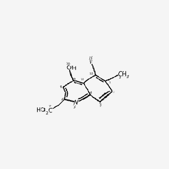 Cc1ccc2nc(C(=O)O)cc(O)c2c1F